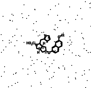 CCOc1ccc2ccc(O[C@H]3C[C@H]4CN(C(=O)O)C(Cc5nccs5)[C@H]4C3)cc2c1